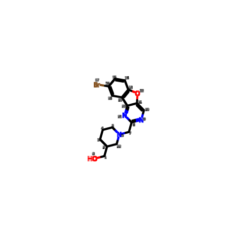 OCC1CCCN(Cc2ncc3oc4ccc(Br)cc4c3n2)C1